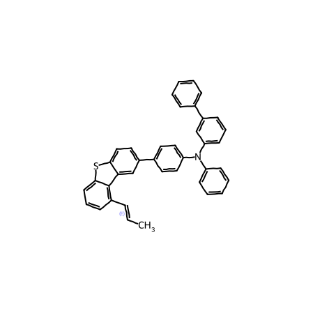 C/C=C/c1cccc2sc3ccc(-c4ccc(N(c5ccccc5)c5cccc(-c6ccccc6)c5)cc4)cc3c12